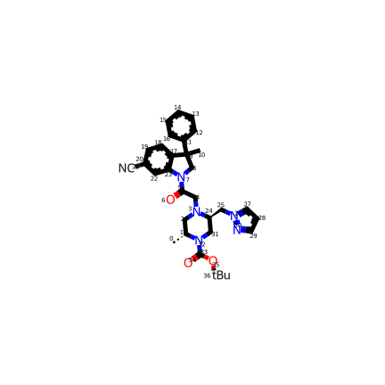 C[C@@H]1CN(CC(=O)N2CC(C)(c3ccccc3)c3ccc(C#N)cc32)[C@@H](Cn2cccn2)CN1C(=O)OC(C)(C)C